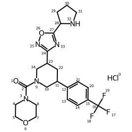 Cl.O=C(N1CCOCC1)N1CC(c2ccc(C(F)(F)F)cc2)CC(c2noc(C3CCCN3)n2)C1